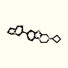 c1cc2ccc(-c3ccc4c(c3)nc3n4CCN(C4CCC4)C3)cn2c1